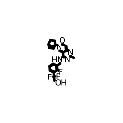 Cc1nc(NCc2cccc(C(F)(F)CO)c2F)c2cn(C34CCC(CC3)C4)c(=O)cc2n1